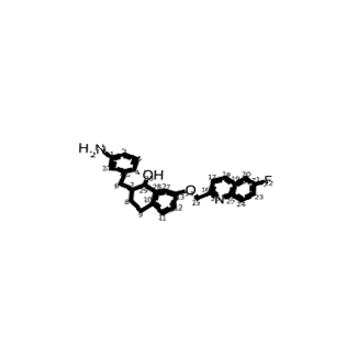 Nc1cccc(CC2CCc3ccc(OCc4ccc5cc(F)ccc5n4)cc3C2O)c1